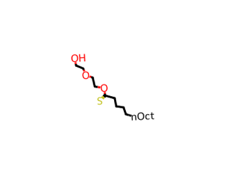 CCCCCCCCCCCCC(=S)OCCOCCO